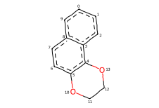 c1ccc2c3c(ccc2c1)OCCO3